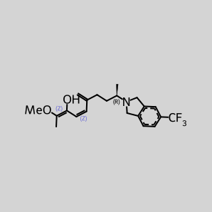 C=C(/C=C\C(O)=C(/C)OC)CC[C@@H](C)N1Cc2ccc(C(F)(F)F)cc2C1